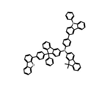 CC1(C)c2ccccc2-c2ccc(N(c3ccc(-c4ccc5c(c4)c4ccccc4n5-c4ccccc4)cc3)c3ccc4c(c3)-c3ccccc3C4(c3ccccc3)c3ccc(-c4cccc5c4oc4ccccc45)cc3)cc21